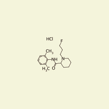 Cc1cccc(C)c1NC(=O)C1CCCCN1CCCF.Cl